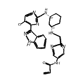 C=CC(=O)Nc1cnc(CN[C@H]2CCC[C@@H](Nc3ncc(Cl)c(-c4n[nH]c5ccccc45)n3)C2)nc1